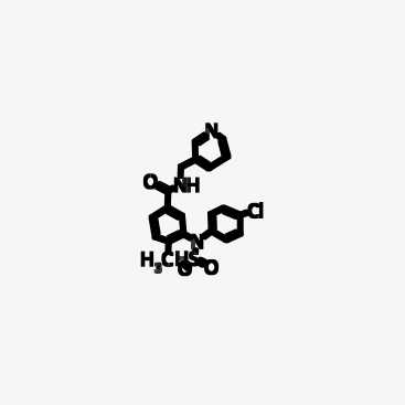 Cc1ccc(C(=O)NCc2cccnc2)cc1N(c1ccc(Cl)cc1)[SH](=O)=O